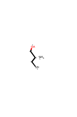 CCCCCCO.[SiH4]